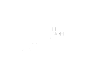 O=C(CCC/C=C/c1ccccc1)NO